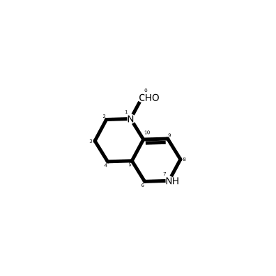 O=CN1CCCC2CNCC=C21